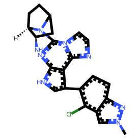 Cn1cc2c(Cl)c(-c3c[nH]c4nc(N5C6CC[C@@H]5[C@H](N)C6)n5ccnc5c34)ccc2n1